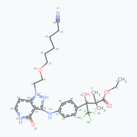 CCOC(=O)C(C)(C)C(O)(c1ccc(Nc2nn(CCOCCCCCC#N)c3cc[nH]c(=O)c23)cc1)C(F)(F)F